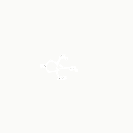 CNC12CNCC1(C)C2C